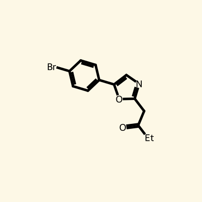 CCC(=O)Cc1ncc(-c2ccc(Br)cc2)o1